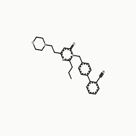 CCCc1nc(CCN2CCOCC2)cc(=O)n1Cc1ccc(-c2ccccc2C#N)cc1